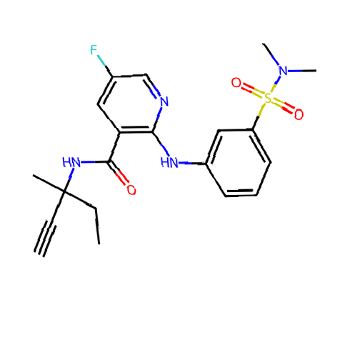 C#CC(C)(CC)NC(=O)c1cc(F)cnc1Nc1cccc(S(=O)(=O)N(C)C)c1